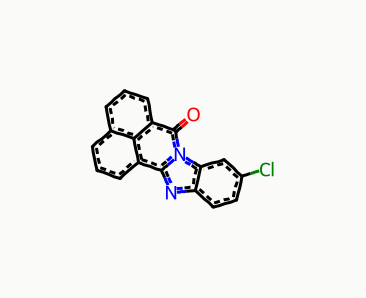 O=c1c2cccc3cccc(c32)c2nc3ccc(Cl)cc3n12